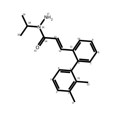 Cc1cccc(-c2ccccc2/C=C/C(=O)N(N)C(C)C)c1C